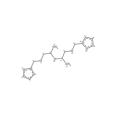 CC(COCc1ccco1)OC(C)COCc1ccco1